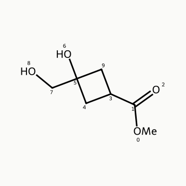 COC(=O)C1CC(O)(CO)C1